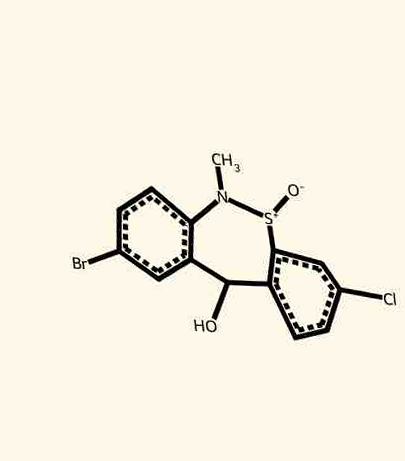 CN1c2ccc(Br)cc2C(O)c2ccc(Cl)cc2[S+]1[O-]